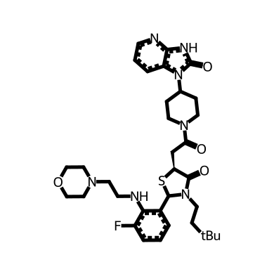 CC(C)(C)CCN1C(=O)[C@H](CC(=O)N2CCC(n3c(=O)[nH]c4ncccc43)CC2)SC1c1cccc(F)c1NCCN1CCOCC1